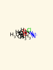 CC1(C)[C@@H]2C[C@H]3OB([C@H](Cl)CN=[N+]=[N-])O[C@@]3(C)[C@H]1C2